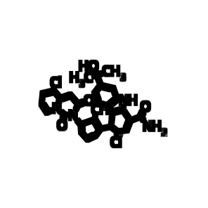 Cc1c(C2c3c([nH]c4cc(C(C)(C)O)ccc34)C(C(N)=O)=C[C@H]2Cl)cccc1-n1c(=O)cc2c(Cl)cccn2c1=O